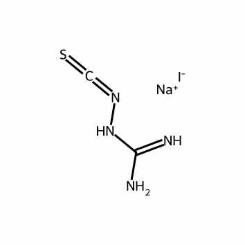 N=C(N)NN=C=S.[I-].[Na+]